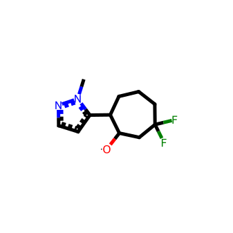 Cn1nccc1C1CCCC(F)(F)CC1[O]